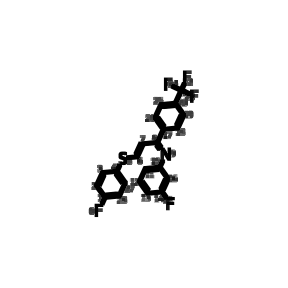 Fc1ccc(SC=CC(=Nc2cccc(F)c2)c2ccc(C(F)(F)F)cc2)cc1